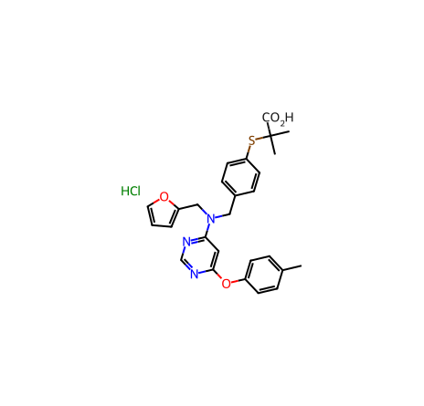 Cc1ccc(Oc2cc(N(Cc3ccc(SC(C)(C)C(=O)O)cc3)Cc3ccco3)ncn2)cc1.Cl